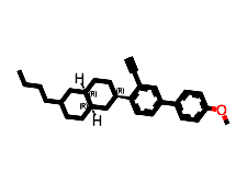 C#Cc1cc(-c2ccc(OC)cc2)ccc1[C@@H]1CC[C@@H]2CC(CCCC)CC[C@@H]2C1